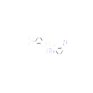 N#Cc1cccc(NC(=O)C[S+]([O-])Cc2cccc(C(F)F)c2)c1